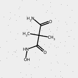 CC(C)(C(N)=O)C(=O)NO